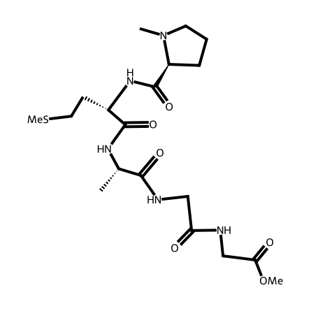 COC(=O)CNC(=O)CNC(=O)[C@H](C)NC(=O)[C@H](CCSC)NC(=O)[C@@H]1CCCN1C